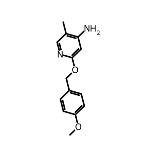 COc1ccc(COc2cc(N)c(C)cn2)cc1